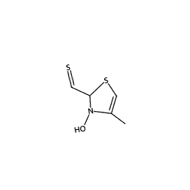 CC1=CSC(C=S)N1O